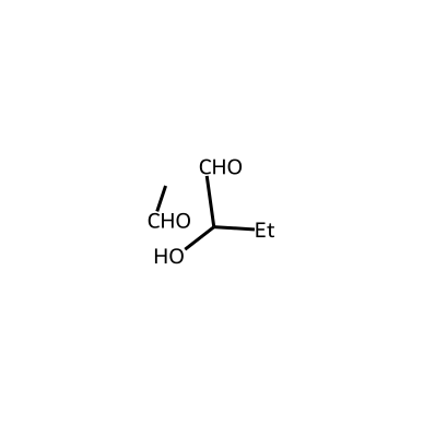 CC=O.CCC(O)C=O